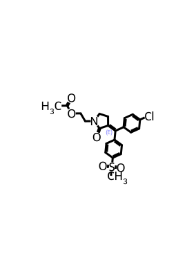 CC(=O)OCCN1CC/C(=C(\c2ccc(Cl)cc2)c2ccc(S(C)(=O)=O)cc2)C1=O